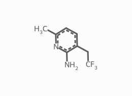 Cc1ccc(CC(F)(F)F)c(N)n1